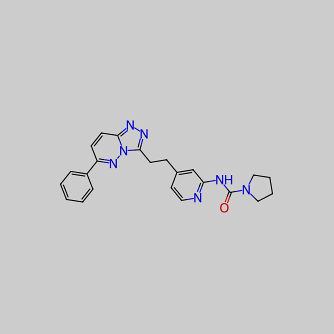 O=C(Nc1cc(CCc2nnc3ccc(-c4ccccc4)nn23)ccn1)N1CCCC1